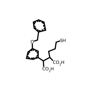 O=C(O)C(CCCS)C(C(=O)O)c1cccc(OCc2ccccc2)c1